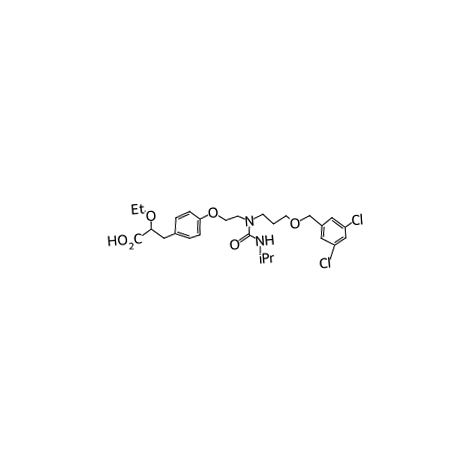 CCOC(Cc1ccc(OCCN(CCCOCc2cc(Cl)cc(Cl)c2)C(=O)NC(C)C)cc1)C(=O)O